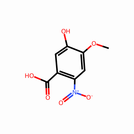 COc1cc([N+](=O)[O-])c(C(=O)O)cc1O